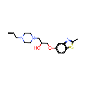 C=CCN1CCN(CC(O)COc2ccc3sc(C)nc3c2)CC1